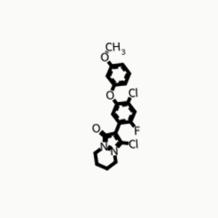 COc1cccc(Oc2cc(-c3c(Cl)n4n(c3=O)CCCC4)c(F)cc2Cl)c1